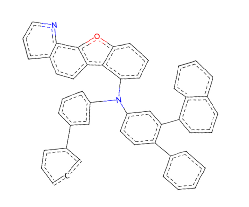 c1ccc(-c2cccc(N(c3ccc(-c4ccccc4)c(-c4cccc5ccccc45)c3)c3cccc4oc5c(ccc6cccnc65)c34)c2)cc1